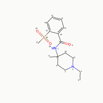 CCN1CCC(C)(NC(=O)c2ccccc2S(C)(=O)=O)CC1